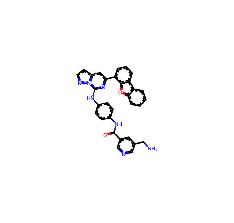 NCc1cncc(C(=O)Nc2ccc(Nc3nc(-c4cccc5c4oc4ccccc45)cc4ccnn34)cc2)c1